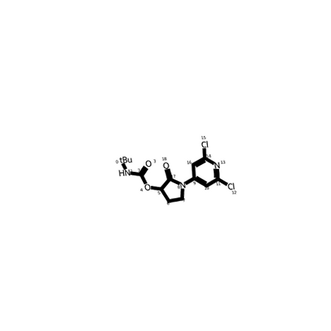 CC(C)(C)NC(=O)OC1CCN(c2cc(Cl)nc(Cl)c2)C1=O